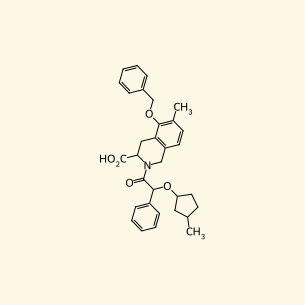 Cc1ccc2c(c1OCc1ccccc1)CC(C(=O)O)N(C(=O)C(OC1CCC(C)C1)c1ccccc1)C2